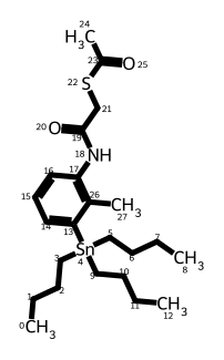 CCC[CH2][Sn]([CH2]CCC)([CH2]CCC)[c]1cccc(NC(=O)CSC(C)=O)c1C